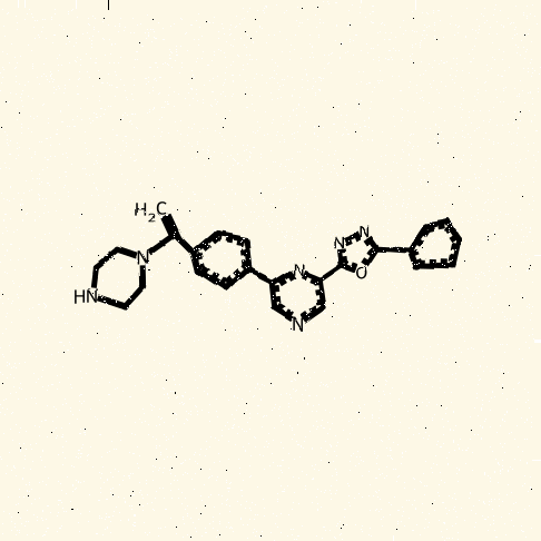 C=C(c1ccc(-c2cncc(-c3nnc(-c4ccccc4)o3)n2)cc1)N1CCNCC1